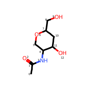 CC(=O)NC1COC(CO)CC1O